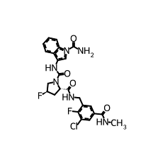 CNC(=O)c1cc(Cl)c(F)c(CNC(=O)[C@@H]2C[C@@H](F)CN2C(=O)Nc2cn(C(N)=O)c3ccccc23)c1